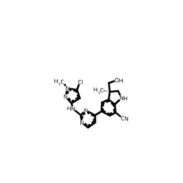 Cn1nc(Nc2nccc(-c3cc(C#N)c4c(c3)[C@@](C)(CO)CN4)n2)cc1Cl